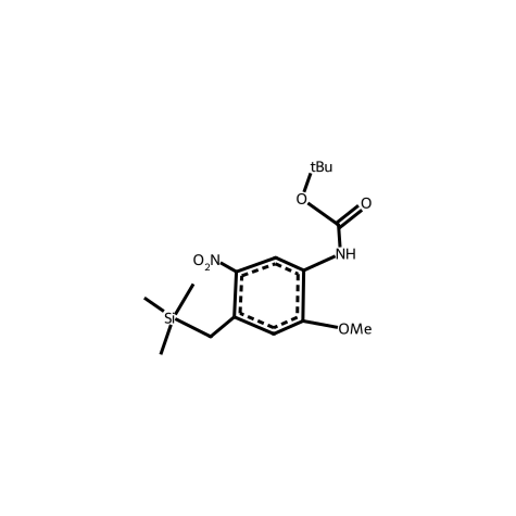 COc1cc(C[Si](C)(C)C)c([N+](=O)[O-])cc1NC(=O)OC(C)(C)C